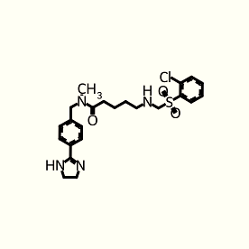 CN(Cc1ccc(C2=NCCN2)cc1)C(=O)CCCCNCS(=O)(=O)c1ccccc1Cl